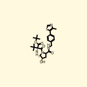 Cc1ncsc1-c1ccc(CNC(=O)C2C[C@@H](O)CN2C(=O)[C@](N)(C(=O)OC(C)(C)C)C(C)(C)C)cc1